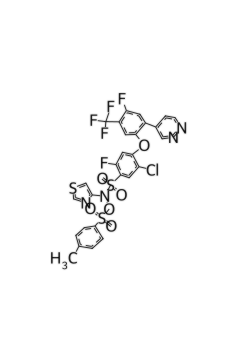 Cc1ccc(S(=O)(=O)ON(c2cscn2)S(=O)(=O)c2cc(Cl)c(Oc3cc(C(F)(F)F)c(F)cc3-c3ccnnc3)cc2F)cc1